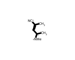 CNC(C)C=C(C)C#N